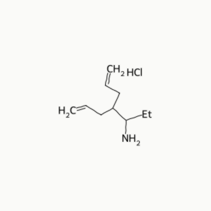 C=CCC(CC=C)C(N)CC.Cl